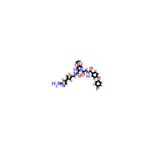 Nc1ncc(-c2csc(CNC(=O)C3CC4(CN3C(=O)CNC(=O)c3ccc(Oc5ccc(F)cc5)cc3)OCCO4)c2)s1